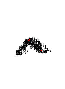 CC(=O)[O-].CC(=O)[O-].CCCC(=O)[O-].CCCC(=O)[O-].CCCC(=O)[O-].CCCC(=O)[O-].CCCC(=O)[O-].CCCC(=O)[O-].CCCC(=O)[O-].CCCC(=O)[O-].[Co+2].[Co+2].[Co+2].[Co+2].[Co+2]